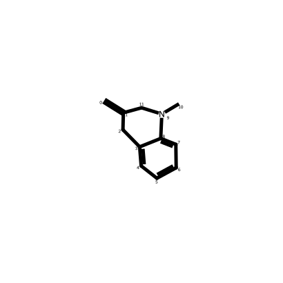 C=C1Cc2ccccc2N(C)C1